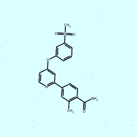 Cc1cc(-c2cc(Oc3cccc(S(C)(=O)=O)c3)ccn2)ccc1C(N)=O